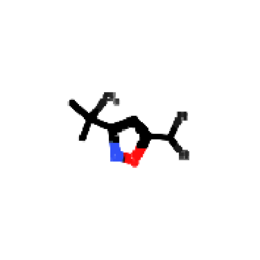 CCC(CC)c1cc(C(C)(C)C(F)(F)F)no1